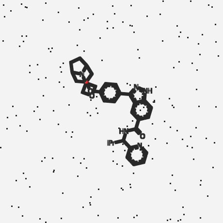 CC(C)C(NC(=O)c1ccc2[nH]nc(-c3ccc(OC4CC5CCC(C4)N5C4COC4)cc3)c2c1)c1ccccn1